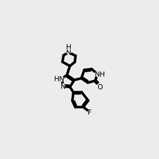 O=c1cc(-c2c(-c3ccc(F)cc3)n[nH]c2C2CCNCC2)cc[nH]1